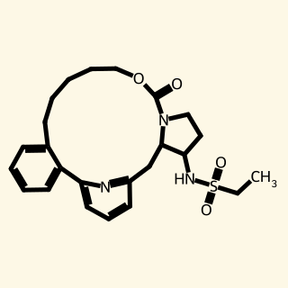 CCS(=O)(=O)NC1CCN2C(=O)OCCCCCc3ccccc3-c3cccc(n3)CC12